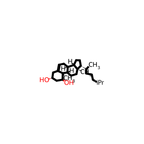 CC(C)CCCC(C)[C@H]1CC[C@H]2[C@@H]3CC=C4C[C@@H](O)CC(O)[C@]4(C)[C@H]3CC[C@]12C